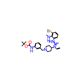 C=CN(C1CCN(Cc2cccc(NC(=O)OC(C)(C)C)c2)CC1)N(C)Nc1cccc(Br)c1NC